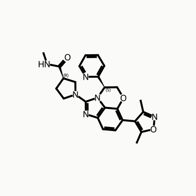 CNC(=O)[C@@H]1CCN(c2nc3ccc(-c4c(C)noc4C)c4c3n2[C@@H](c2ccccn2)CO4)C1